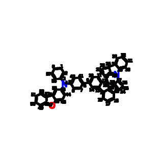 c1ccc(N(c2ccc(-c3ccc4c(c3)-c3ccccc3C43c4ccccc4-n4c5ccccc5c5cccc3c54)cc2)c2ccc3oc4ccccc4c3c2)cc1